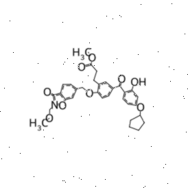 COCn1oc2cc(COc3ccc(C(=O)c4ccc(OC5CCCC5)cc4O)cc3CCC(=O)OC)ccc2c1=O